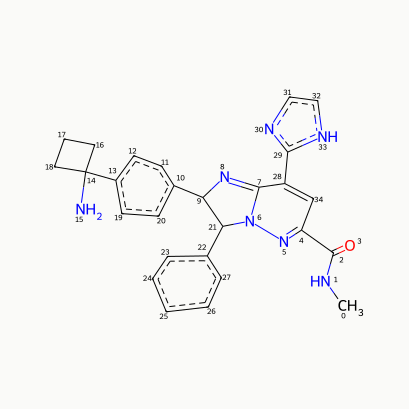 CNC(=O)C1=NN2C(=NC(c3ccc(C4(N)CCC4)cc3)C2c2ccccc2)C(c2ncc[nH]2)=C1